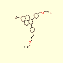 C=COCCCc1ccc(-c2cc(-c3ccc(COC=C)cc3)c3ccc4cc(C(C)(C)C)cc5ccc2c3c54)cc1